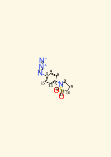 [N-]=[N+]=Nc1ccc(N2CCCS2(=O)=O)cc1